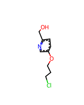 OCc1ccc(OCCCCl)cn1